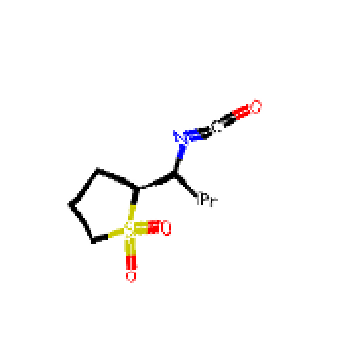 CC(C)C(N=C=O)[C@@H]1CCCS1(=O)=O